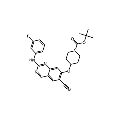 CC(C)(C)OC(=O)N1CCC(Oc2cc3nc(Nc4cccc(F)c4)ncc3cc2C#N)CC1